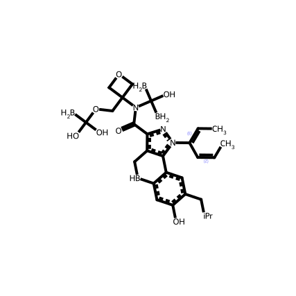 BC(O)(O)OCC1(N(C(=O)c2nn(C(/C=C\C)=C/C)c3c2CBc2cc(O)c(CC(C)C)cc2-3)C(B)(B)O)COC1